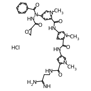 Cl.Cn1cc(NC(=O)c2cc(NC(=O)c3cc(N(NC(=O)C4CO4)C(=O)c4ccccc4)cn3C)cn2C)cc1C(=O)NCCC(=N)N